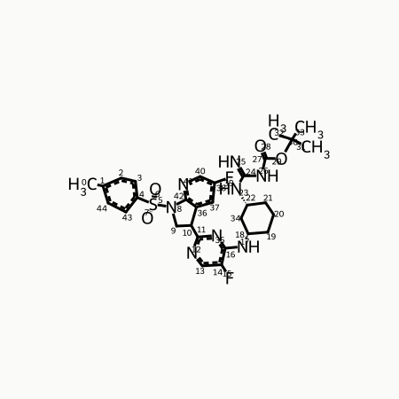 Cc1ccc(S(=O)(=O)N2CC(c3ncc(F)c(N[C@H]4CCC[C@@H](NC(=N)NC(=O)OC(C)(C)C)C4)n3)c3cc(F)cnc32)cc1